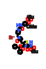 COc1cc(NC(=O)C[n+]2ccc(CN3CCC(=CC4=C(C(=O)OC(c5ccccc5)c5ccccc5)N5C(=O)C(NC(=O)OC(C)(C)C)C5SC4)C3=O)cc2)ccc1OC(=O)OC(C)(C)C.[Br-]